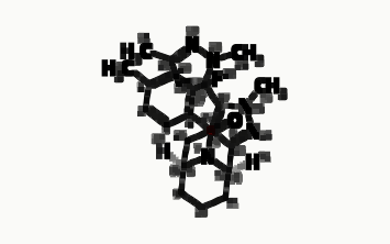 Cc1ccc(C(=O)N2[C@H]3CCC[C@@H]2c2nn(C)c(-c4cc(C)nn4C)c2C3)c(F)c1